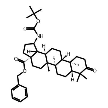 CC(C)(C)OC(=O)N[C@@H]1CC[C@]2(C(=O)OCc3ccccc3)CC[C@]3(C)[C@H](CC[C@@H]4[C@@]5(C)CCC(=O)C(C)(C)[C@@H]5CC[C@]43C)[C@@H]12